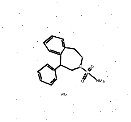 Br.CNS(=O)(=O)N1CCc2ccccc2C(c2ccccc2)C1